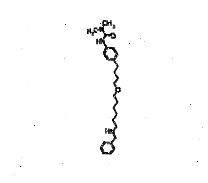 CN(C)C(=O)Nc1ccc(CCCCOCCCCCCNCc2ccccc2)cc1